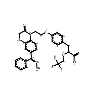 O=C(O)C(Cc1ccc(OCCN2C(=O)CSc3cc(/C(=N/O)c4ccccc4)ccc32)cc1)OCC(F)(F)F